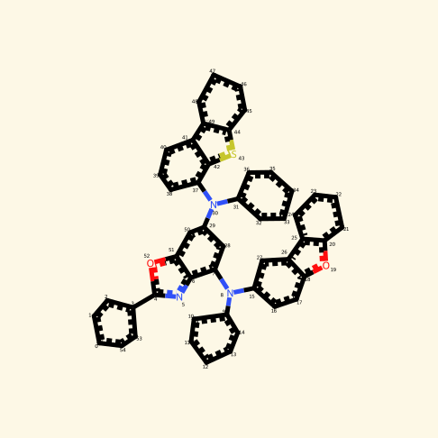 c1ccc(-c2nc3c(N(c4ccccc4)c4ccc5oc6ccccc6c5c4)cc(N(c4ccccc4)c4cccc5c4sc4ccccc45)cc3o2)cc1